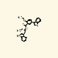 CCOc1ccc(-c2csc3ccccc23)cc1C(=O)N[C@@H](CO)Cc1c[nH]c2ccccc12